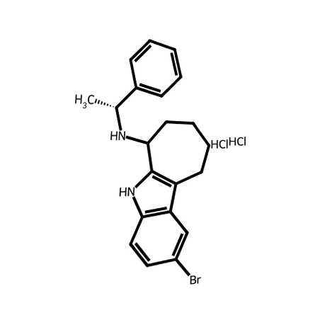 C[C@@H](NC1CCCCc2c1[nH]c1ccc(Br)cc21)c1ccccc1.Cl.Cl